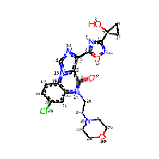 O=c1c2c(-c3nc(C4(O)CC4)no3)ncn2c2ccc(Cl)cc2n1CCN1CCOCC1